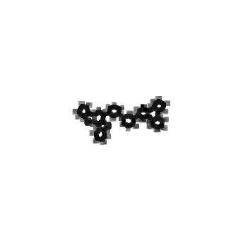 c1cc(-c2cccc(-c3cc4c5ccccc5oc4c4c3oc3ccccc34)c2)cc(-c2cnc3c4ccccc4c4ccccc4c3n2)c1